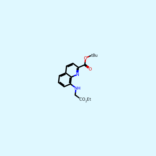 CCOC(=O)CNc1cccc2ccc(C(=O)OC(C)(C)C)nc12